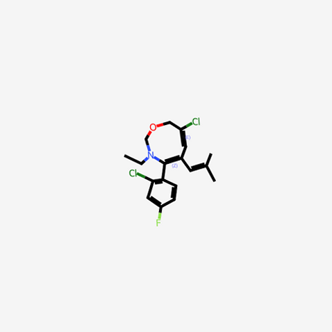 CCN1COC/C(Cl)=C\C(C=C(C)C)=C/1c1ccc(F)cc1Cl